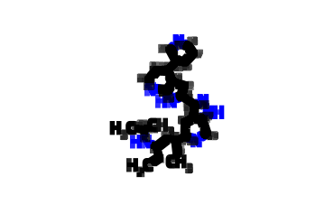 C=C/C(=C\C(=C/C)c1cc2c(-c3cc4c(-c5cccnc5)ccnc4[nH]3)n[nH]c2cn1)NC(C)C